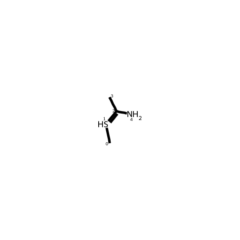 C[SH]=C(C)N